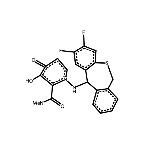 CNC(=O)c1c(O)c(=O)ccn1NC1c2ccccc2CSc2cc(F)c(F)cc21